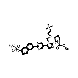 CC(C)(C)OC(=O)N1CCC[C@H]1c1ncc(-c2cnc(-c3ccc4cc(OS(=O)(=O)C(F)(F)F)ccc4c3)nc2)n1COCC[Si](C)(C)C